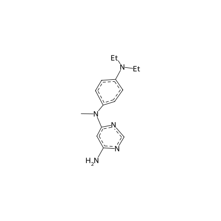 CCN(CC)c1ccc(N(C)c2cc(N)ncn2)cc1